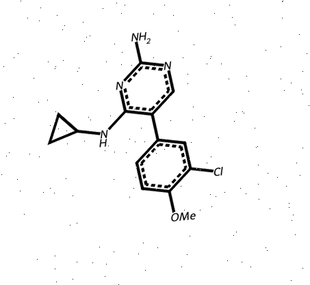 COc1ccc(-c2cnc(N)nc2NC2CC2)cc1Cl